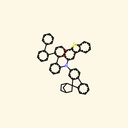 c1ccc(-c2ccccc2-c2ccccc2-c2ccccc2N(c2ccc3c(c2)C2(CC4CCC2C4)c2ccccc2-3)c2ccc3sc4ccccc4c3c2)cc1